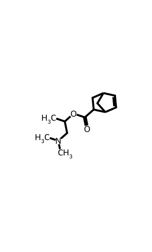 CC(CN(C)C)OC(=O)C1CC2C=CC1C2